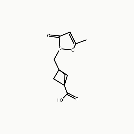 Cc1cc(=O)n(CC23CC(C(=O)O)(C2)C3)o1